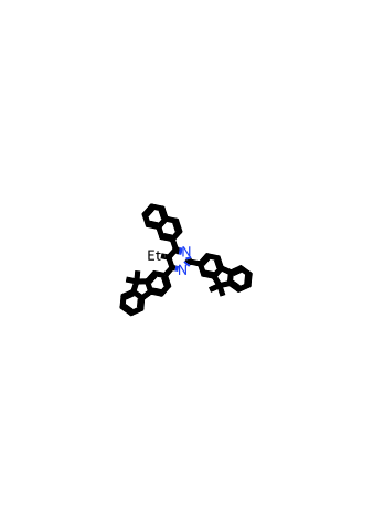 CCC1C(c2ccc3ccccc3c2)=NC(c2ccc3c(c2)C(C)(C)c2ccccc2-3)=NC1c1ccc2c(c1)C(C)(C)c1ccccc1-2